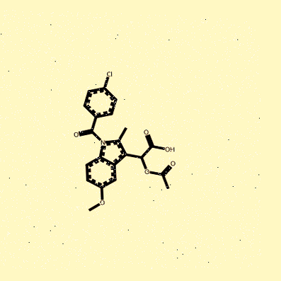 COc1ccc2c(c1)c(C(OC(C)=O)C(=O)O)c(C)n2C(=O)c1ccc(Cl)cc1